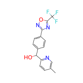 Cc1ccc(C(O)c2ccc(-c3noc(C(F)(F)F)n3)cc2)nc1